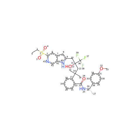 CCS(=O)(=O)c1cc2cc(CC(O)(CC(C)(C)c3ccccc3C(=O)N[C@@H](C)c3ccc(OC)cc3)C(F)(F)F)[nH]c2cn1